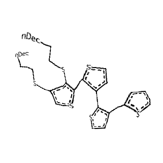 CCCCCCCCCCCCSc1csc(-c2sccc2-c2sccc2-c2cccs2)c1SCCCCCCCCCCCC